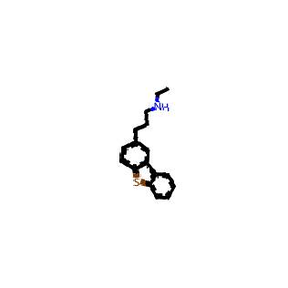 CCNCCCc1ccc2sc3ccccc3c2c1